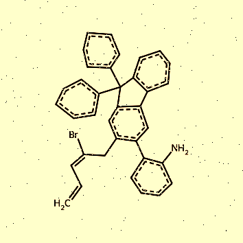 C=C/C=C(/Br)Cc1cc2c(cc1-c1ccccc1N)-c1ccccc1C2(c1ccccc1)c1ccccc1